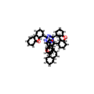 c1ccc(-c2nc(-c3cccc4c3oc3ccccc34)nc(-c3cccc4oc5cccc(-c6cccc7oc8c9ccccc9ccc8c67)c5c34)n2)cc1